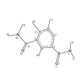 Cc1cc(C(=O)N(C)C)c(C)c(C(=O)N(C)C)c1C